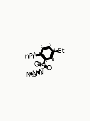 CCCc1ccc(CC)cc1S(=O)(=O)N=[N+]=[N-]